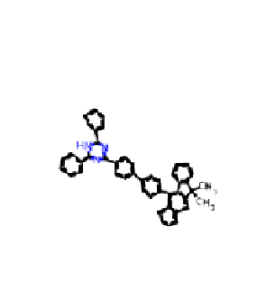 CC1(C)c2ccccc2-c2c1cc1ccccc1c2-c1ccc(-c2ccc(C3=NC(c4ccccc4)NC(c4ccccc4)=N3)cc2)cc1